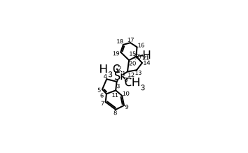 C[Si](C)(C1CC=C2C=CC=CC21)C1CC[C@H]2CCC=CC12